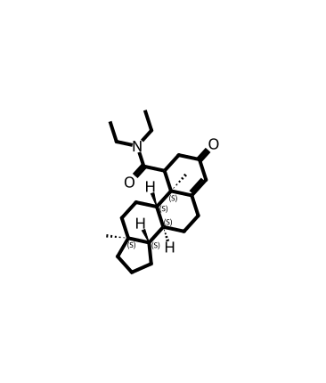 CCN(CC)C(=O)C1CC(=O)C=C2CC[C@H]3[C@@H]4CCC[C@@]4(C)CC[C@@H]3[C@]21C